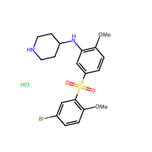 COc1ccc(S(=O)(=O)c2cc(Br)ccc2OC)cc1NC1CCNCC1.Cl